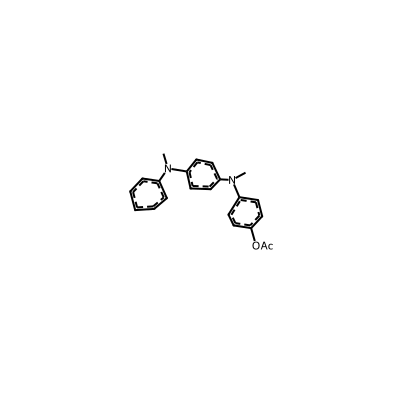 CC(=O)Oc1ccc(N(C)c2ccc(N(C)c3ccccc3)cc2)cc1